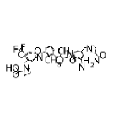 Cc1c(-c2nc3cc(CN4CCC[C@H]4C(=O)O)c(OC(F)F)cc3o2)cccc1-c1cccc(-c2nc3cc(CN4CCC(C(N)=O)C4)cc(C#N)c3o2)c1C